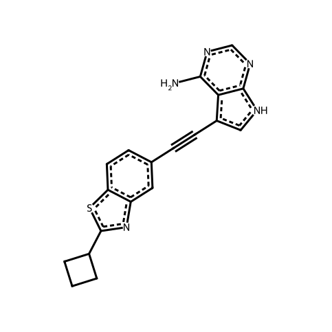 Nc1ncnc2[nH]cc(C#Cc3ccc4sc(C5CCC5)nc4c3)c12